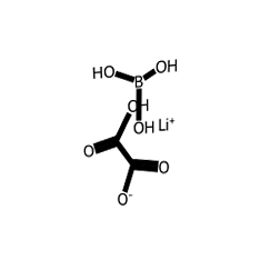 O=C([O-])C(=O)O.OB(O)O.[Li+]